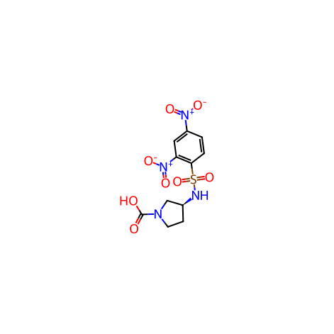 O=C(O)N1CC[C@H](NS(=O)(=O)c2ccc([N+](=O)[O-])cc2[N+](=O)[O-])C1